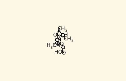 CC#CC(=O)N(c1ccc2c(n1)c(OC1CCC(C(=O)O)C1)nn2C)c1cc(C)c(I)cc1C1CC1